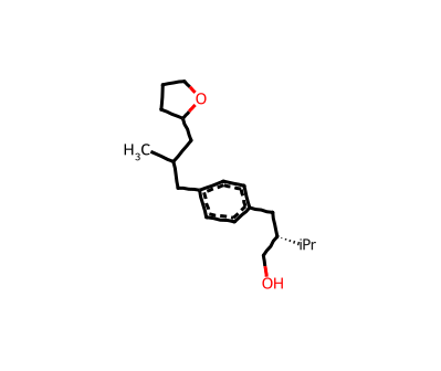 CC(Cc1ccc(C[C@@H](CO)C(C)C)cc1)CC1CCCO1